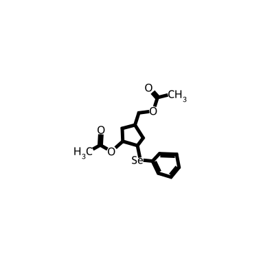 CC(=O)OCC1CC(OC(C)=O)C([Se]c2ccccc2)C1